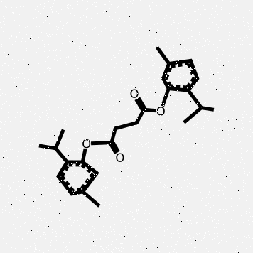 Cc1ccc(C(C)C)c(OC(=O)CCC(=O)Oc2cc(C)ccc2C(C)C)c1